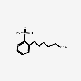 O=C(O)CCCCCc1ccccc1P(=O)(O)O